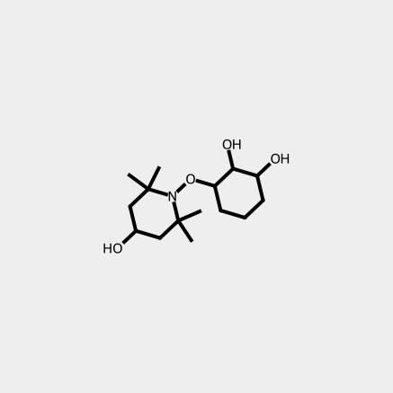 CC1(C)CC(O)CC(C)(C)N1OC1CCCC(O)C1O